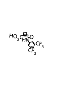 O=C(Nc1cc(C(F)(F)F)cc(C(F)(F)F)c1)[C@H]1CC[C@H]1C(=O)O